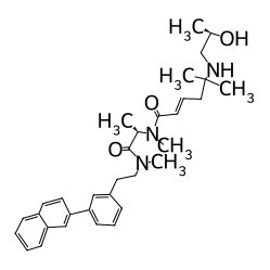 C[C@H](C(=O)N(C)CCc1cccc(-c2ccc3ccccc3c2)c1)N(C)C(=O)C=CCC(C)(C)NC[C@@H](C)O